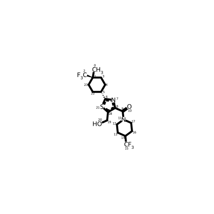 C[C@]1(C(F)(F)F)CC[C@H](c2nc(C(=O)N3CCC(C(F)(F)F)CC3)c(CO)s2)CC1